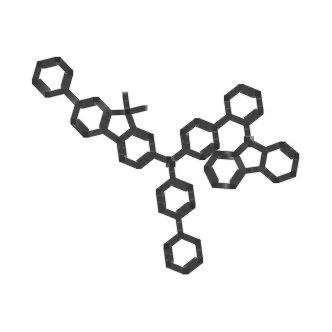 CC1(C)c2cc(-c3ccccc3)ccc2-c2ccc(N(c3ccc(C4C=CC=CC4)cc3)c3ccc(C4CC=CC=C4N4c5ccccc5C5CCC=CC54)cc3)cc21